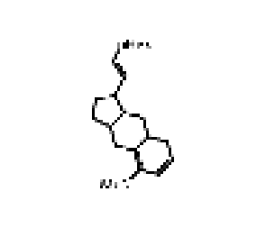 CCCCCC/C=C/C1CCC2CC3=C(NC)C=CCC3CC12